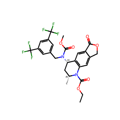 CCOC(=O)N1c2cc3c(cc2[C@@H](N(Cc2cc(C(F)(F)F)cc(C(F)(F)F)c2)C(=O)OC)C[C@H]1C)C(=O)OC3